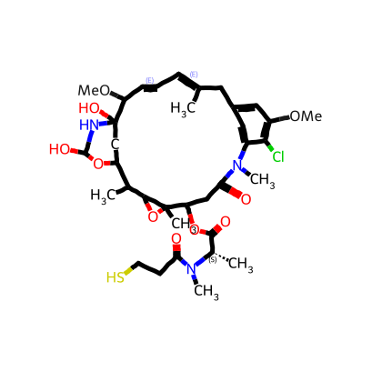 COc1cc2cc(c1Cl)N(C)C(=O)CC(OC(=O)[C@H](C)N(C)C(=O)CCS)C1(C)OC1C(C)C1CC(O)(NC(O)O1)C(OC)/C=C/C=C(\C)C2